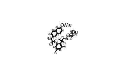 COc1ccc2cc(C(C)C(=O)Oc3cc(C)cc(C)c3C(C)(C)CCO[Si](C)(C)C(C)(C)C)ccc2c1